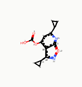 O=C(O)Oc1cc(C2CC2)nc2onc(C3CC3)c12